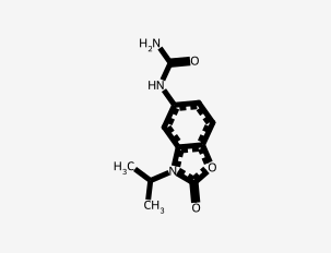 CC(C)n1c(=O)oc2ccc(NC(N)=O)cc21